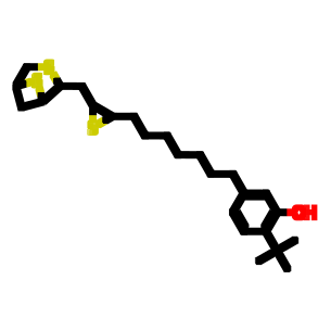 CC(C)(C)c1ccc(CCCCCCCC2SC2CC2SCC3CC2S3)cc1O